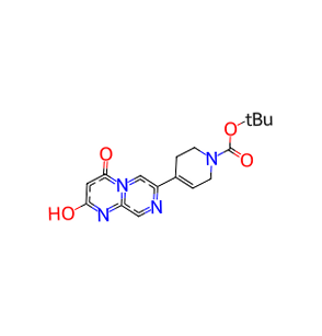 CC(C)(C)OC(=O)N1CC=C(c2cn3c(=O)cc(O)nc3cn2)CC1